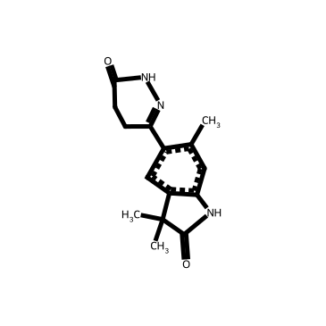 Cc1cc2c(cc1C1=NNC(=O)CC1)C(C)(C)C(=O)N2